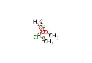 CCCCOCC1OC(c2ccc(Cl)c(CC3CC=C(CC)S3)c2)C=C(OCCCC)C1F